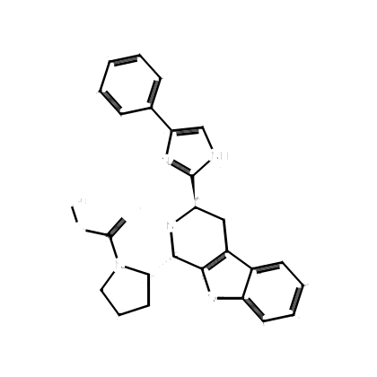 CC(C)(C)OC(=O)N1CCC[C@H]1C1N[C@@H](c2nc(-c3ccccc3)c[nH]2)Cc2c1[nH]c1ccccc21